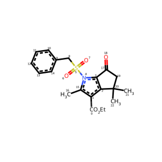 CCOC(=O)c1c2c(n(S(=O)(=O)Cc3ccccc3)c1C)C(=O)CC2(C)C